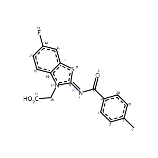 Cc1ccc(C(=O)/N=c2\sc3cc(F)ccc3n2CC(=O)O)cc1